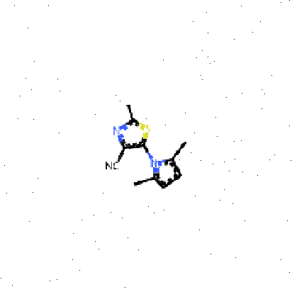 Cc1nc(C#N)c(-n2c(C)ccc2C)s1